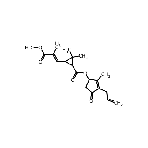 C=CCC1=C(C)C(OC(=O)C2C(/C=C(\C)C(=O)OC)C2(C)C)CC1=O